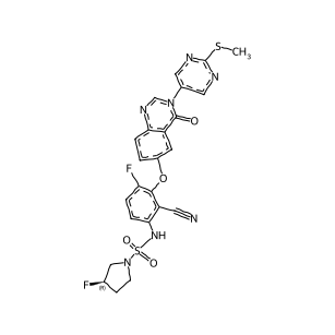 CSc1ncc(-n2cnc3ccc(Oc4c(F)ccc(NS(=O)(=O)N5CC[C@@H](F)C5)c4C#N)cc3c2=O)cn1